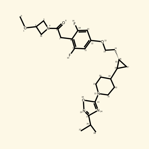 COC1CN(C(=O)Cc2c(F)cc(OCC[C@@H]3CC3C3CCN(c4nc(C(C)C)no4)CC3)cc2F)C1